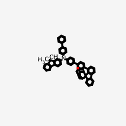 CC1(C)c2ccccc2-c2ccc(N(c3ccc(-c4ccccc4)cc3)c3ccc(-c4ccc(-c5cccc6c5C5(c7ccccc7-6)C6CC7CC(C6)CC5C7)cc4)cc3)cc21